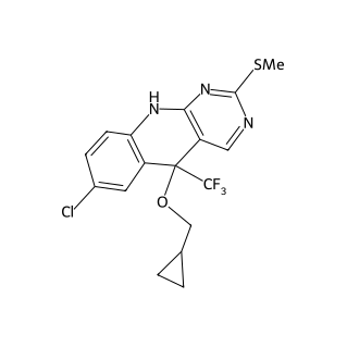 CSc1ncc2c(n1)Nc1ccc(Cl)cc1C2(OCC1CC1)C(F)(F)F